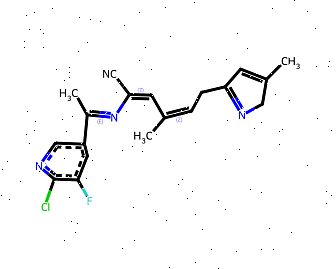 CC1=CC(C\C=C(C)/C=C(C#N)\N=C(/C)c2cnc(Cl)c(F)c2)=NC1